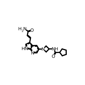 NC(=O)C=Cc1c[nH]c2ncc(N3CC(NC(=O)C4CCCC4)C3)cc12